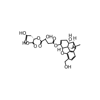 CN1CC[C@]23c4c5ccc(CO)c4O[C@H]2C(OC(=O)C[C@H](O)C(=O)O[C@@H](CC(=O)O)C(=O)O)=CC[C@@]3(O)[C@H]1C5